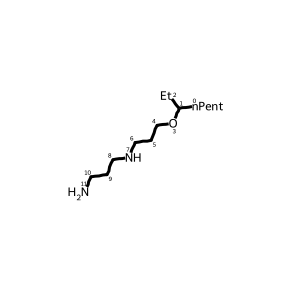 CCCCCC(CC)OCCCNCCCN